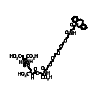 O=C(O)CCC(NP(=O)(O)OCC[C@H](NC(=O)CC[C@@H](NC(=O)CCOCCOCCOCCOCCOCCC(=O)NCCC(=O)N1Cc2ccccc2CCc2ccccc21)C(=O)O)C(=O)O)C(=O)O